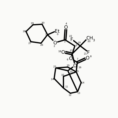 CCC1(OC(=O)COC(=O)C23CC4CC(C2)C(OC(=O)C(C)(F)F)C(C4)C3)CCCCC1